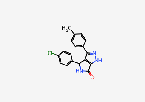 Cc1ccc(-c2n[nH]c3c2C(c2ccc(Cl)cc2)NC3=O)cc1